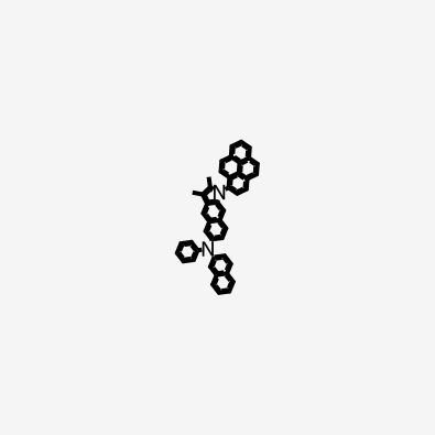 Cc1c(C)n(-c2ccc3ccc4cccc5ccc2c3c45)c2cc3ccc(N(c4ccccc4)c4ccc5ccccc5c4)cc3cc12